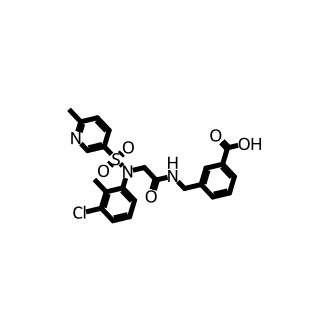 Cc1ccc(S(=O)(=O)N(CC(=O)NCc2cccc(C(=O)O)c2)c2cccc(Cl)c2C)cn1